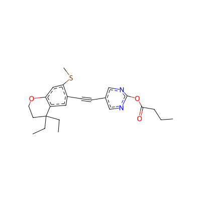 CCCC(=O)Oc1ncc(C#Cc2cc3c(cc2SC)OCCC3(CC)CC)cn1